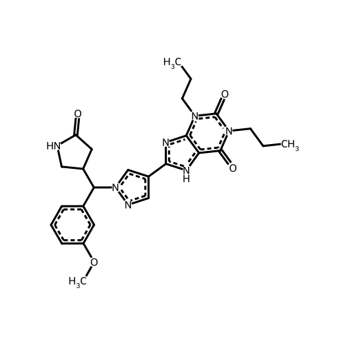 CCCn1c(=O)c2[nH]c(-c3cnn(C(c4cccc(OC)c4)C4CNC(=O)C4)c3)nc2n(CCC)c1=O